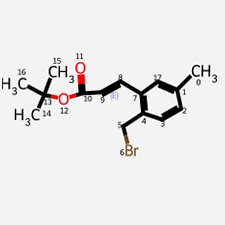 Cc1ccc(CBr)c(/C=C/C(=O)OC(C)(C)C)c1